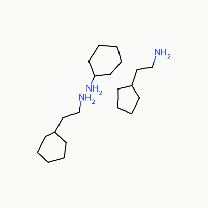 NC1CCCCC1.NCCC1CCCC1.NCCC1CCCCC1